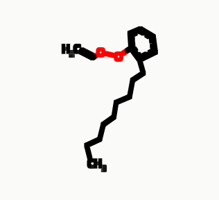 C=COOc1ccccc1CCCCCCCCC